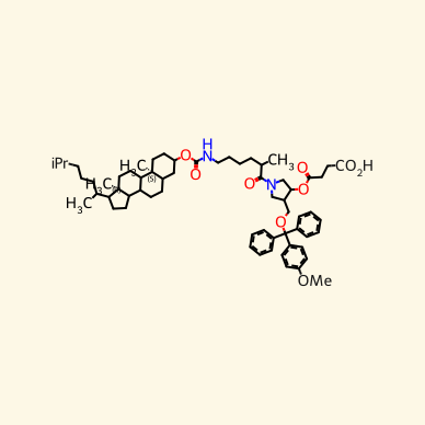 COc1ccc(C(OCC2CN(C(=O)C(C)CCCCNC(=O)OC3CC[C@@]4(C)C(CCC5C6CCC(C(C)CCCC(C)C)[C@@]6(C)CCC54)C3)CC2OC(=O)CCC(=O)O)(c2ccccc2)c2ccccc2)cc1